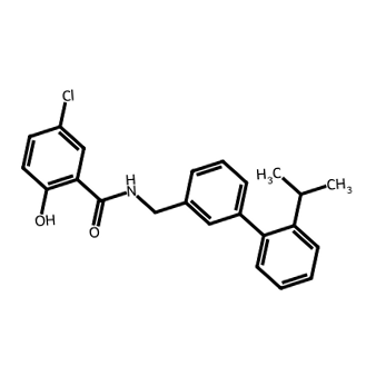 CC(C)c1ccccc1-c1cccc(CNC(=O)c2cc(Cl)ccc2O)c1